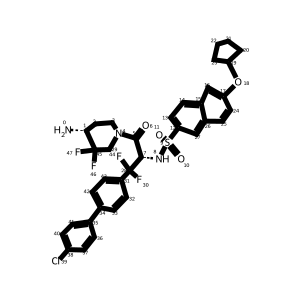 N[C@@H]1CCN(C(=O)[C@H](NS(=O)(=O)c2ccc3cc(OC4CCCC4)ccc3c2)C(F)(F)c2ccc(-c3ccc(Cl)cc3)cc2)CC1(F)F